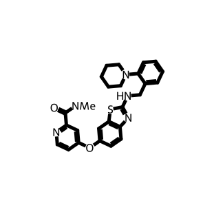 CNC(=O)c1cc(Oc2ccc3nc(NCc4ccccc4N4CCCCC4)sc3c2)ccn1